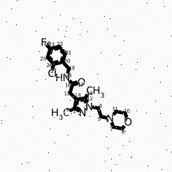 Cc1nn(CCN2CCOCC2)c(C)c1CC(=O)NCc1ccc(F)cc1Cl